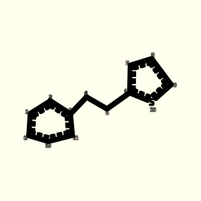 c1ccc(CCc2cccs2)cc1